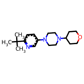 CC(C)(C)c1ccc(N2CCN(C3CCOCC3)CC2)cn1